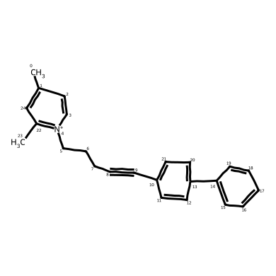 Cc1cc[n+](CCCC#Cc2ccc(-c3ccccc3)cc2)c(C)c1